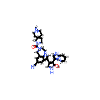 CN1CCC2(CC1)CCN(C(=O)N1CCn3cc(C4=C(c5cnc6ccccn56)C(=O)NC4)c4cc(C#N)cc(c43)C1)C2